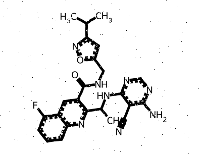 CC(C)c1cc(CNC(=O)c2cc3c(F)cccc3nc2C(C)Nc2ncnc(N)c2C#N)on1